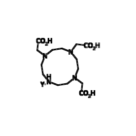 O=C(O)CN1CCNCCN(CC(=O)O)CCN(CC(=O)O)CC1.[Y]